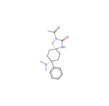 CC(=O)N1C[C@]2(CC[C@@](c3ccccc3)(N(C)C)CC2)NC1=O